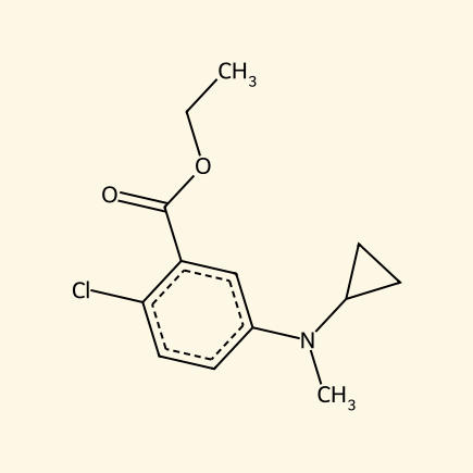 CCOC(=O)c1cc(N(C)C2CC2)ccc1Cl